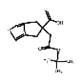 CC(C)(C)OC(=O)CC1(C(=O)O)Cc2cocc2C1